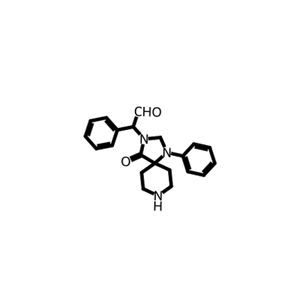 O=CC(c1ccccc1)N1CN(c2ccccc2)C2(CCNCC2)C1=O